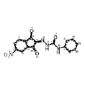 O=C(NN=c1c(=O)c2ccc([N+](=O)[O-])cc2c1=O)Nc1ccccc1